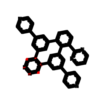 c1cnc(-c2cccc(-c3cc(-c4ccncc4)cc(-c4ccncc4)c3)c2-c2cc(-c3ccncc3)cc(-c3ccncc3)c2)nc1